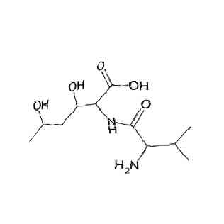 CC(O)CC(O)C(NC(=O)C(N)C(C)C)C(=O)O